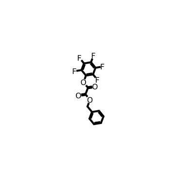 O=C(OCc1ccccc1)C(=O)Oc1c(F)c(F)c(F)c(F)c1F